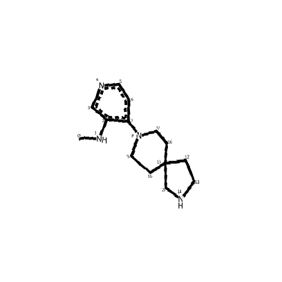 CNc1cnccc1N1CCC2(CCNC2)CC1